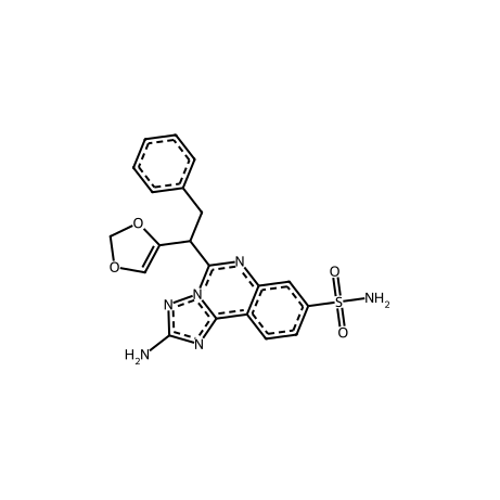 Nc1nc2c3ccc(S(N)(=O)=O)cc3nc(C(Cc3ccccc3)C3=COCO3)n2n1